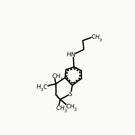 CCCNc1ccc2c(c1)C(C)(C)CC(C)(C)S2